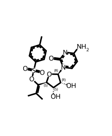 CC(C)=C(OS(=O)(=O)c1ccc(C)cc1)[C@H]1O[C@@H](n2ccc(N)nc2=O)[C@H](O)[C@@H]1O